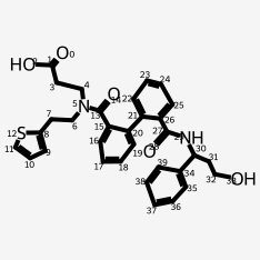 O=C(O)CCN(CCc1cccs1)C(=O)c1ccccc1-c1ccccc1C(=O)NC(CCO)c1ccccc1